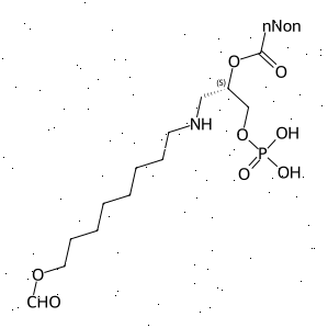 CCCCCCCCCC(=O)O[C@@H](CNCCCCCCCCOC=O)COP(=O)(O)O